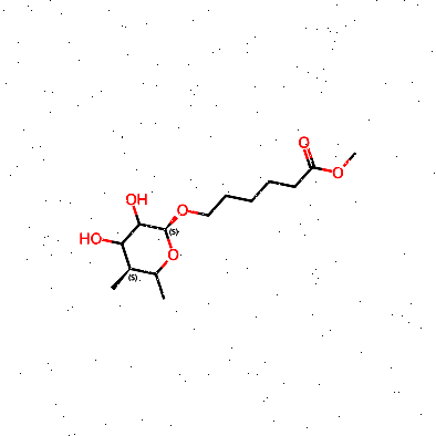 COC(=O)CCCCCO[C@H]1OC(C)[C@@H](C)C(O)C1O